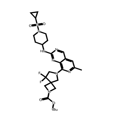 Cc1cc2cnc(NC3CCN(S(=O)(=O)C4CC4)CC3)nc2c(N2CC(F)(F)C3(CN(C(=O)OC(C)(C)C)C3)C2)n1